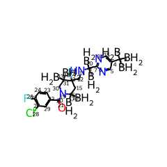 BC(B)(B)c1cnc(C(B)(B)NCC2(F)CC(B)(B)N(C(=O)c3ccc(F)c(Cl)c3)CC2(B)B)nc1